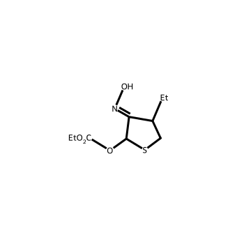 CCOC(=O)OC1SCC(CC)C1=NO